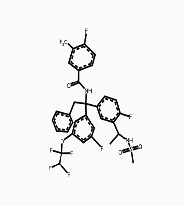 CC(NS(C)(=O)=O)c1cc(C(Cc2ccccc2)(NC(=O)c2ccc(F)c(C(F)(F)F)c2)c2cc(F)cc(OC(F)(F)C(F)F)c2)ccc1F